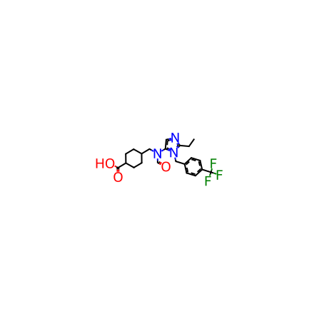 CCc1ncc(N(C=O)CC2CCC(C(=O)O)CC2)n1Cc1ccc(C(F)(F)F)cc1